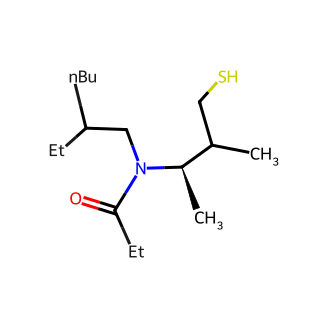 CCCCC(CC)CN(C(=O)CC)[C@H](C)C(C)CS